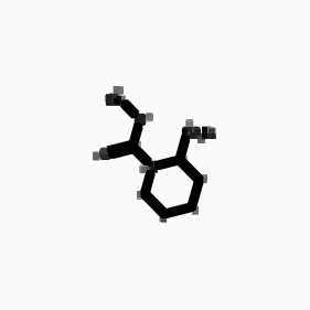 CCOC(=O)C1CCCCN1C(=O)OC(C)(C)C